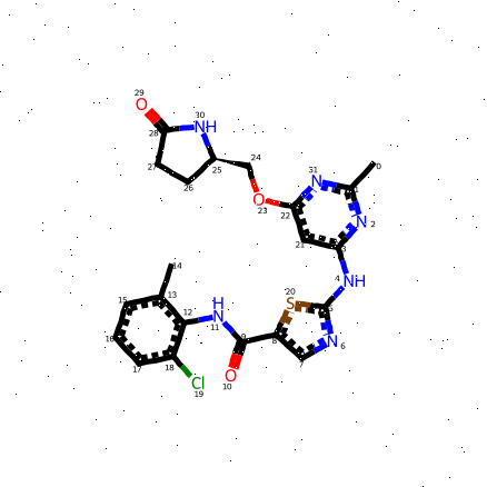 Cc1nc(Nc2ncc(C(=O)Nc3c(C)cccc3Cl)s2)cc(OC[C@H]2CCC(=O)N2)n1